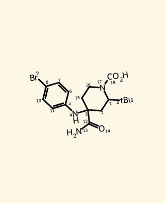 CC(C)(C)C1CC(Nc2ccc(Br)cc2)(C(N)=O)CCN1C(=O)O